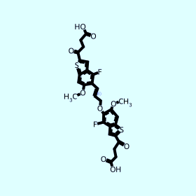 COc1cc2sc(C(=O)CCC(=O)O)cc2c(F)c1/C=C/COc1c(OC)cc2sc(C(=O)CCC(=O)O)cc2c1F